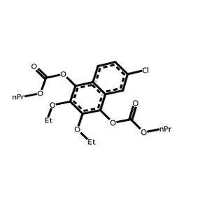 CCCOC(=O)Oc1c(OCC)c(OCC)c(OC(=O)OCCC)c2cc(Cl)ccc12